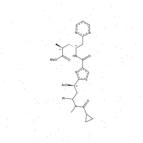 COC(=O)[C@@H](C)C[C@H](Cc1ncccn1)NC(=O)c1csc([C@@H](CC(C(C)C)N(C)C(=O)C2CC2)OC(C)=O)n1